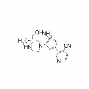 C[C@@]1(CO)CN(c2cc(-c3cnccc3C#N)ccc2N)CCN1